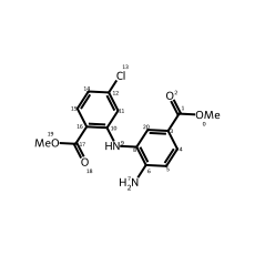 COC(=O)c1ccc(N)c(Nc2cc(Cl)ccc2C(=O)OC)c1